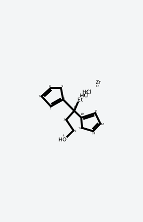 CCC(CCO)(C1=CC=CC1)C1=CC=CC1.Cl.Cl.[Zr]